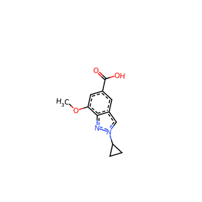 COc1cc(C(=O)O)cc2cn(C3CC3)nc12